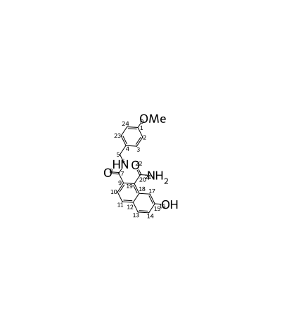 COc1ccc(CNC(=O)c2ccc3ccc(O)cc3c2C(N)=O)cc1